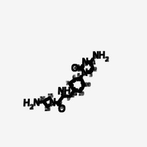 Nc1ccn(-c2ccc(C[C@H](N)C(=O)N3CC(N)C3)cc2)c(=O)n1